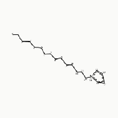 CCCCCCCCCCCCCCCn1cccc1